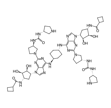 O=C(N[C@@H]1CCNC1)N[C@@H]1CCN(c2nc(N[C@H]3CC[C@H](Nc4nc(N5CC[C@@H](NC(=O)N[C@@H]6CCNC6)C5)nc5c4ncn5[C@@H]4C[C@H](NC(=O)C5CCC5)[C@@H](O)[C@H]4O)CC3)c3ncn([C@@H]4C[C@H](NC(=O)C5CCC5)[C@@H](O)[C@H]4O)c3n2)C1